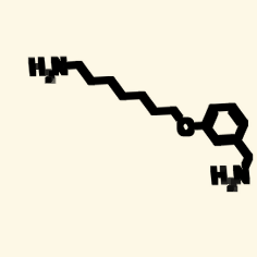 NCCCCCCCOc1cccc(CN)c1